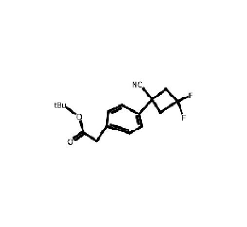 CC(C)(C)OC(=O)Cc1ccc(C2(C#N)CC(F)(F)C2)cc1